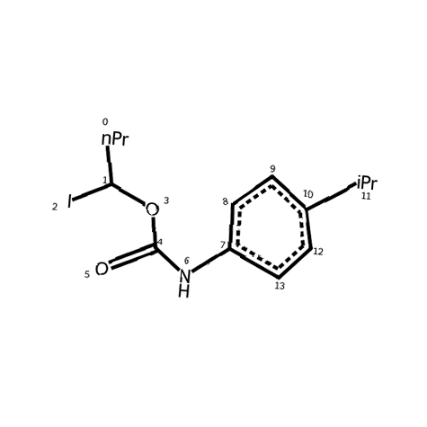 CCCC(I)OC(=O)Nc1ccc(C(C)C)cc1